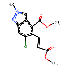 COC(=O)/C=C/c1c(Cl)cc2nn(C)cc2c1C(=O)OC